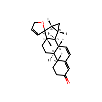 C[C@]12CC[C@H]3[C@@H](C=CC4=CC(=O)CC[C@@H]43)[C@@H]1[C@H]1C[C@H]1[C@@]21C=CCO1